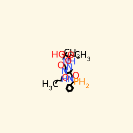 CCCCOc1nc(C(=O)NCC(C)(O)C(=O)OCC)ncc1C(=O)NC(P)c1ccccc1